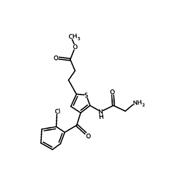 COC(=O)CCc1cc(C(=O)c2ccccc2Cl)c(NC(=O)CN)s1